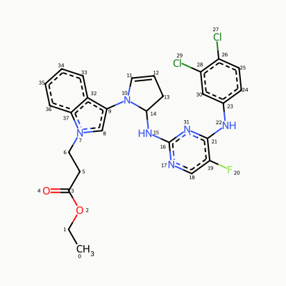 CCOC(=O)CCn1cc(N2C=CCC2Nc2ncc(F)c(Nc3ccc(Cl)c(Cl)c3)n2)c2ccccc21